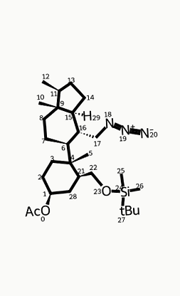 CC(=O)O[C@H]1CC[C@](C)([C@H]2CC[C@]3(C)[C@@H](C)CC[C@H]3[C@@H]2CN=[N+]=[N-])[C@@H](CO[Si](C)(C)C(C)(C)C)C1